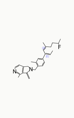 C=C1c2c(ccnc2C)CN1Cc1ccc(C(/C=C(/C)CCC(C)F)=C/C)cc1C